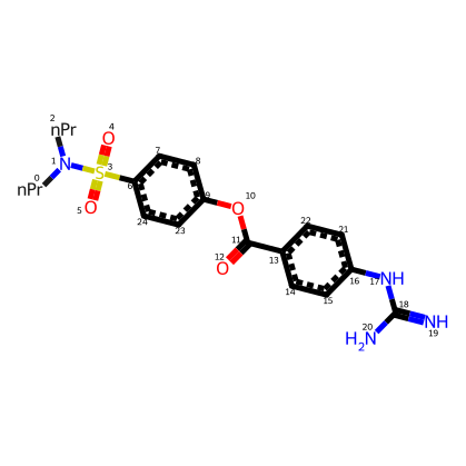 CCCN(CCC)S(=O)(=O)c1ccc(OC(=O)c2ccc(NC(=N)N)cc2)cc1